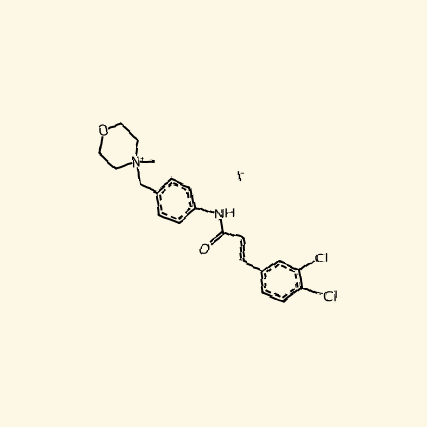 C[N+]1(Cc2ccc(NC(=O)C=Cc3ccc(Cl)c(Cl)c3)cc2)CCOCC1.[I-]